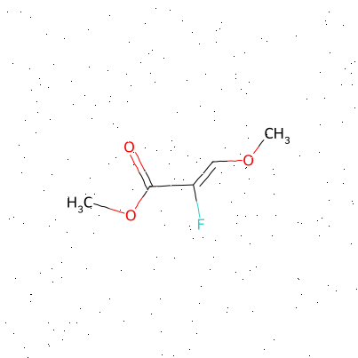 COC=C(F)C(=O)OC